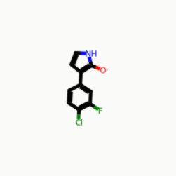 [O]c1[nH]ccc1-c1ccc(Cl)c(F)c1